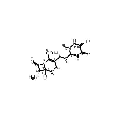 C=C1N=C(SCC2=C(C(=O)O)N3C(=O)[C@@H](N)[C@H]3SC2)N(C)NC1=O